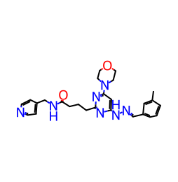 Cc1cccc(C=NNc2cc(N3CCOCC3)nc(CCCC(=O)NCc3ccncc3)n2)c1